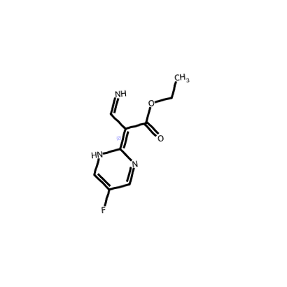 CCOC(=O)/C(C=N)=C1\N=CC(F)=CN1